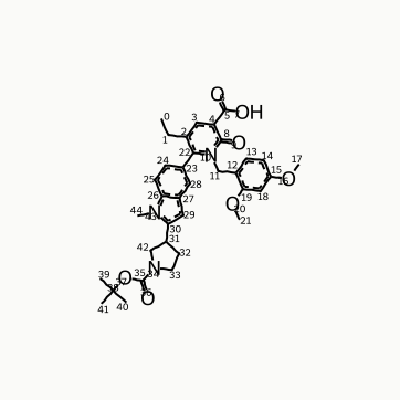 CCc1cc(C(=O)O)c(=O)n(Cc2ccc(OC)cc2OC)c1-c1ccc2c(c1)cc(C1CCN(C(=O)OC(C)(C)C)C1)n2C